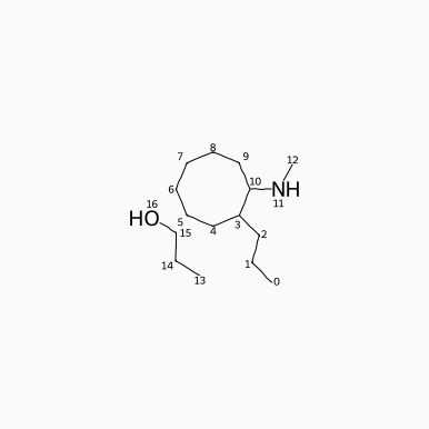 CCCC1CCCCCCC1NC.CCCO